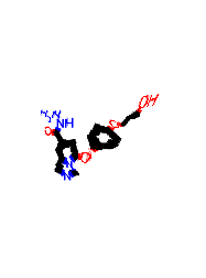 NNC(=O)c1cc(Oc2ccc(OCCCO)cc2)n2cncc2c1